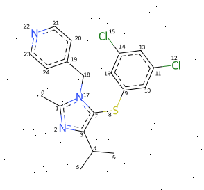 [CH2]c1nc(C(C)C)c(Sc2cc(Cl)cc(Cl)c2)n1Cc1ccncc1